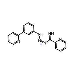 N=C(/N=N\Nc1cccc(-c2ccccn2)c1)c1ccccn1